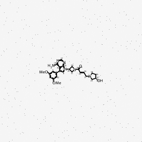 COc1cc(OC)cc(-c2cn(C3CN(C(=O)/C=C/CN4CC[C@@H](O)C4)C3)c3ncnc(N)c23)c1